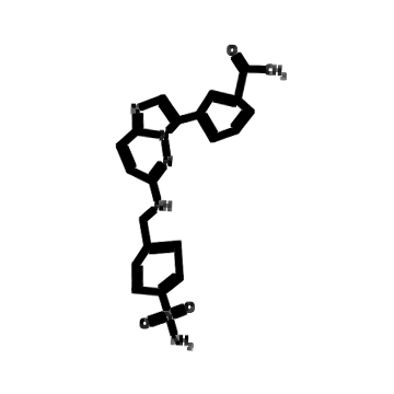 CC(=O)c1cccc(-c2cnc3ccc(NCc4ccc(S(N)(=O)=O)cc4)nn23)c1